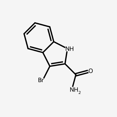 NC(=O)c1[nH]c2ccccc2c1Br